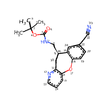 CC(C)(C)OC(=O)NC[C@@H]1Cc2ncccc2Oc2ccc(C#N)cc21